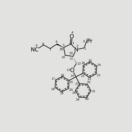 CC(C)CN1C(=O)[C@H](CCCC#N)C[C@H]1COC(c1ccccc1)(c1ccccc1)c1ccccc1